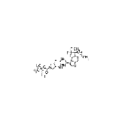 COc1cc2ncc(-c3cncc(N[C@H]4CN(C(=O)OC(C)(C)C)C[C@@H]4F)n3)n2cc1[C@](C)(O)C(F)(F)F